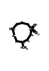 CN1CCNCCCS(=O)(=O)CC1